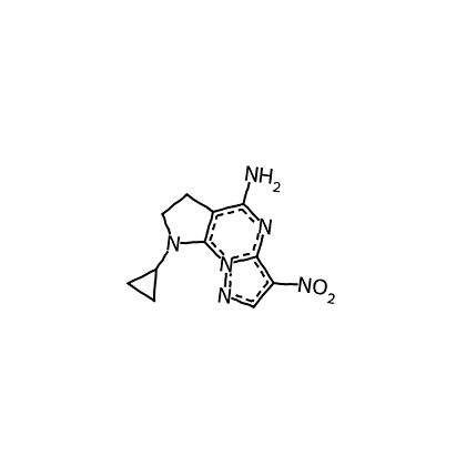 Nc1nc2c([N+](=O)[O-])cnn2c2c1CCN2C1CC1